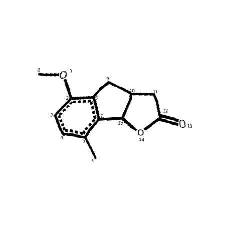 COc1ccc(C)c2c1CC1CC(=O)OC21